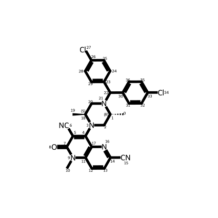 C[C@@H]1CN(c2c(C#N)c(=O)n(C)c3ccc(C#N)nc23)[C@@H](C)CN1C(c1ccc(Cl)cc1)c1ccc(Cl)cc1